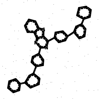 c1ccc(-c2cccc(-c3ccc(-c4nc(-c5ccc(-c6cccc(-c7ccccc7)c6)cc5)c5sc6ccccc6c5n4)cc3)c2)cc1